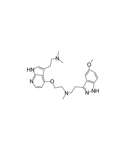 COc1ccc2[nH]nc(CCN(C)CCOc3ccnc4[nH]cc(CCN(C)C)c34)c2c1